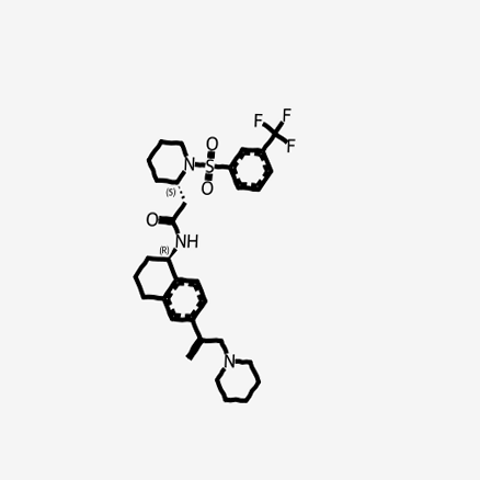 C=C(CN1CCCCC1)c1ccc2c(c1)CCC[C@H]2NC(=O)C[C@@H]1CCCCN1S(=O)(=O)c1cccc(C(F)(F)F)c1